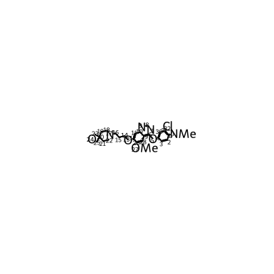 CNc1ccc(Oc2ncnc3cc(OCCCN4CCC5(CC4)COC5)c(OC)cc23)cc1Cl